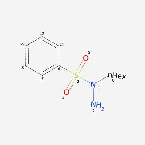 CCCCCCN(N)S(=O)(=O)c1ccccc1